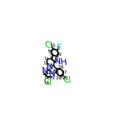 Fc1cc2[nH]c3c(c2cc1Cl)CCN(c1ncc(Cl)cn1)C3c1ccc(Cl)cc1